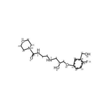 O=C(NCCNC[C@H](O)COc1ccc(F)c(CO)c1)N1CCOCC1